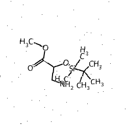 COC(=O)C(CN)O[Si](C)(C)C(C)(C)C